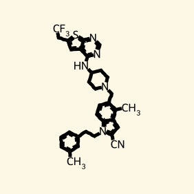 Cc1cccc(CCn2c(C#N)cc3c(C)c(CN4CCC(Nc5ncnc6sc(CC(F)(F)F)cc56)CC4)ccc32)c1